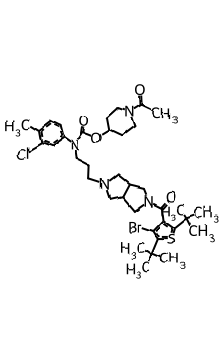 CC(=O)N1CCC(OC(=O)N(CCCN2CC3CN(C(=O)c4c(C(C)(C)C)sc(C(C)(C)C)c4Br)CC3C2)c2ccc(C)c(Cl)c2)CC1